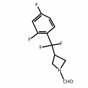 O=CN1CC(C(F)(F)c2ccc(F)cc2F)C1